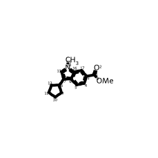 COC(=O)c1ccc2c(C3CCCC3)cn(C)c2c1